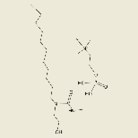 CCCCCCCCCCCN(CCO)C(=O)NC.C[N+](C)(C)CCOP(=O)(O)O